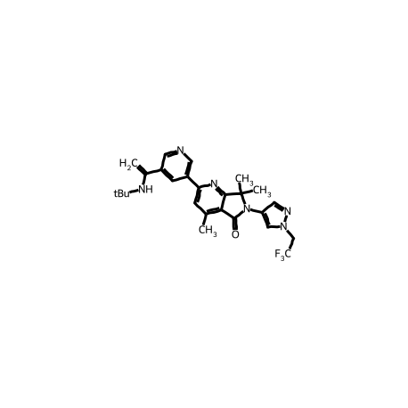 C=C(NC(C)(C)C)c1cncc(-c2cc(C)c3c(n2)C(C)(C)N(c2cnn(CC(F)(F)F)c2)C3=O)c1